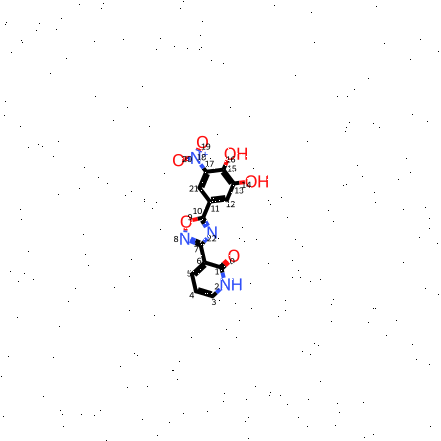 O=c1[nH]cccc1-c1noc(-c2cc(O)c(O)c([N+](=O)[O-])c2)n1